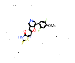 COc1cc(F)c(-c2cncc3cc(/C=C4/SC(=S)NC4=O)oc23)cc1F